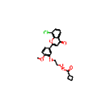 COc1ccc(-c2cc(=O)c3cccc(Cl)c3o2)cc1OCCOOC(=O)C1CCC1